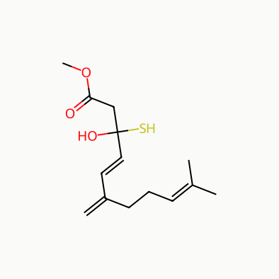 C=C(C=CC(O)(S)CC(=O)OC)CCC=C(C)C